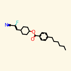 CCCCCCc1ccc(C(=O)OC2CCC(C=C(F)C#N)CC2)cc1